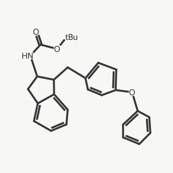 CC(C)(C)OC(=O)NC1Cc2ccccc2C1Cc1ccc(Oc2ccccc2)cc1